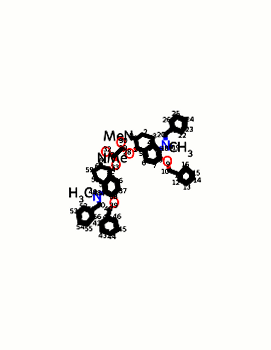 CNC1CCc2c(ccc(OCc3ccccc3)c2N(C)Cc2ccccc2)C1OC(=O)C(=O)OC1c2ccc(OCc3ccccc3)c(N(C)Cc3ccccc3)c2CCC1NC